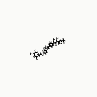 C[C@H]1CN(CCOc2ccc3c(n2)sc2nc(-c4ccc(NC(=O)Nc5cc(C(C)(C)C)on5)cc4)cn23)[C@@H](C)CN1